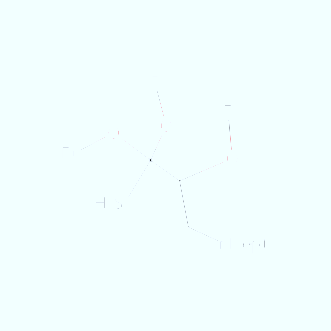 CCCCCCCCC(OCC)C([SiH3])(OCC)OCC